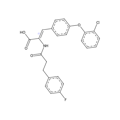 O=C(CCc1ccc(F)cc1)N/C(=C\c1ccc(Oc2ccccc2Cl)cc1)C(=O)O